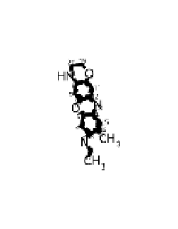 CC/N=c1/cc2oc3cc4c(cc3nc-2cc1C)OCCN4